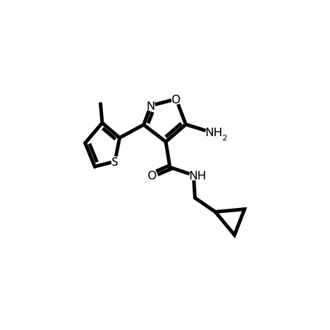 Cc1ccsc1-c1noc(N)c1C(=O)NCC1CC1